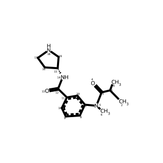 CC(C)C(=O)N(C)c1cccc(C(=O)N[C@@H]2CCNC2)c1